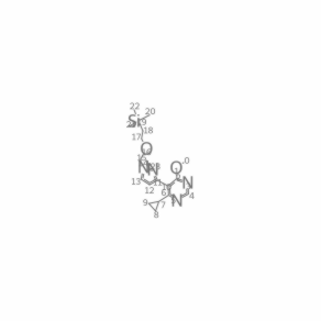 COc1ncnc(C2CC2)c1-c1ccn(COCC[Si](C)(C)C)n1